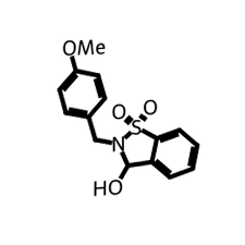 COc1ccc(CN2C(O)c3ccccc3S2(=O)=O)cc1